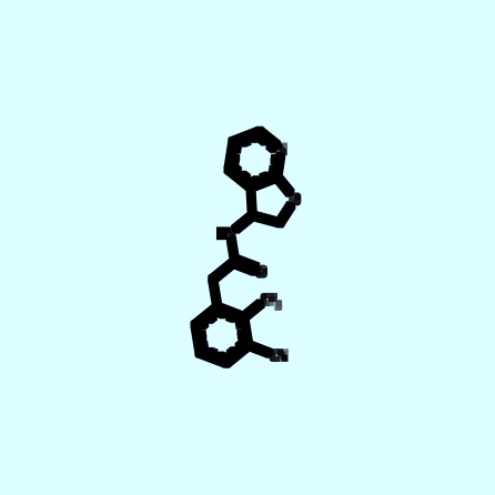 N#Cc1cccc(CC(=O)NC2COc3ncccc32)c1C(F)(F)F